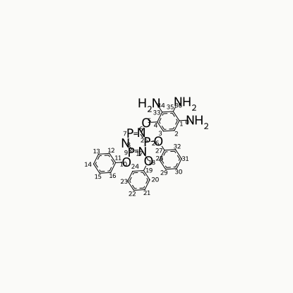 Nc1ccc(On2pnp(Oc3ccccc3)n(Oc3ccccc3)p2Oc2ccccc2)c(N)c1N